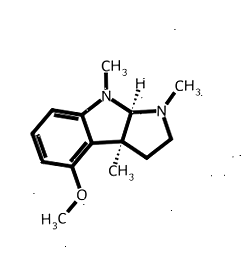 COc1cccc2c1[C@]1(C)CCN(C)[C@@H]1N2C